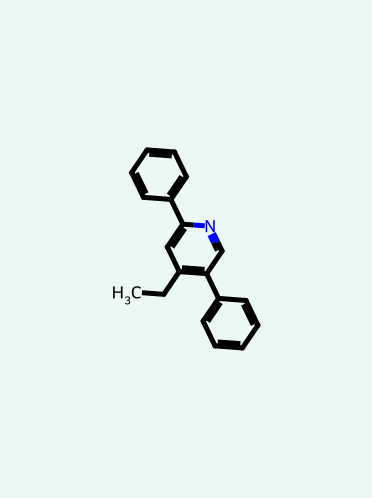 CCc1cc(-c2ccccc2)ncc1-c1ccccc1